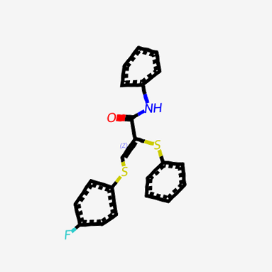 O=C(Nc1ccccc1)/C(=C/Sc1ccc(F)cc1)Sc1ccccc1